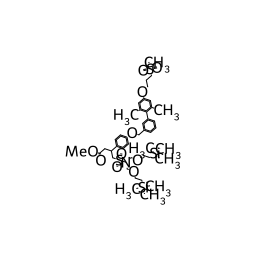 COC(=O)CC(CS(=O)(=O)N(COCC[Si](C)(C)C)COCC[Si](C)(C)C)c1ccc(OCc2cccc(-c3c(C)cc(OCCCS(C)(=O)=O)cc3C)c2)cc1